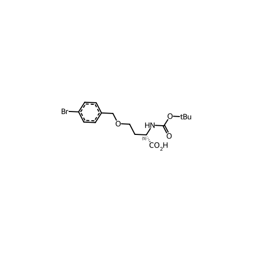 CC(C)(C)OC(=O)N[C@@H](CCOCc1ccc(Br)cc1)C(=O)O